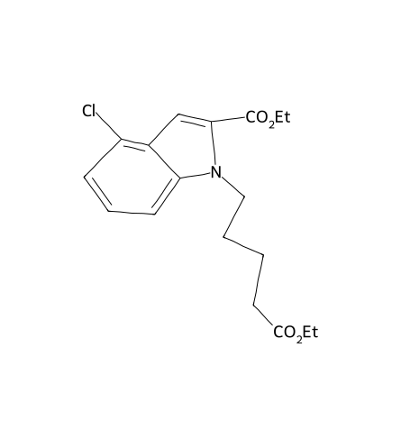 CCOC(=O)CCCCn1c(C(=O)OCC)cc2c(Cl)cccc21